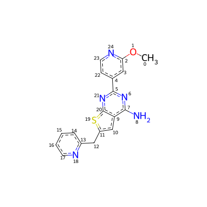 COc1cc(-c2nc(N)c3cc(Cc4ccccn4)sc3n2)ccn1